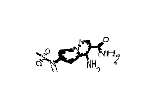 CS(=O)(=O)Nc1cc2c(N)c(C(N)=O)cnn2c1